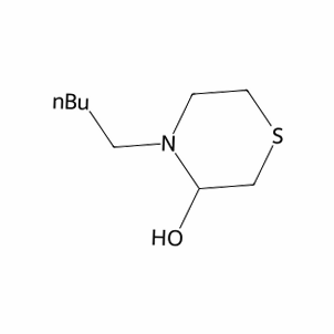 [CH2]CCCCN1CCSCC1O